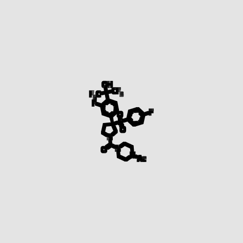 CC(=O)N1CCN(C(=O)N2CC[C@](c3ccc(C(O)(C(F)(F)F)C(F)(F)F)c(F)c3)(S(=O)(=O)c3ccc(F)cc3)C2)CC1